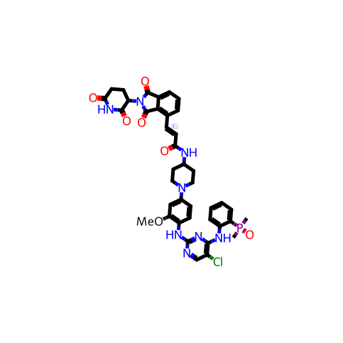 COc1cc(N2CCC(NC(=O)/C=C/c3cccc4c3C(=O)N(C3CCC(=O)NC3=O)C4=O)CC2)ccc1Nc1ncc(Cl)c(Nc2ccccc2P(C)(C)=O)n1